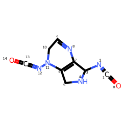 O=C=NC1NCC2=C1N=CCN2N=C=O